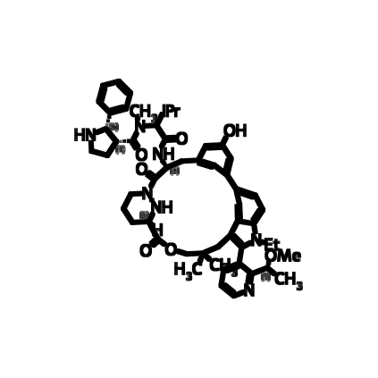 CCn1c(-c2cccnc2[C@H](C)OC)c2c3cc(ccc31)-c1cc(O)cc(c1)C[C@H](NC(=O)C(C(C)C)N(C)C(=O)[C@@H]1CCN[C@@H]1c1ccccc1)C(=O)N1CCC[C@H](N1)C(=O)OCC(C)(C)C2